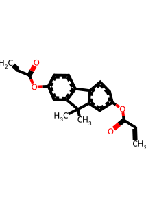 C=CC(=O)Oc1ccc2c(c1)C(C)(C)c1cc(OC(=O)C=C)ccc1-2